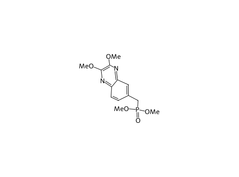 COc1nc2ccc(CP(=O)(OC)OC)cc2nc1OC